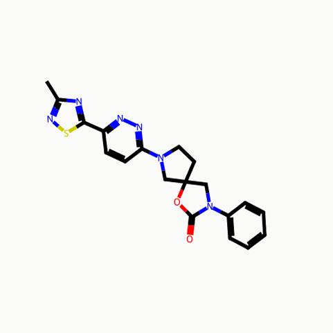 Cc1nsc(-c2ccc(N3CCC4(C3)CN(c3ccccc3)C(=O)O4)nn2)n1